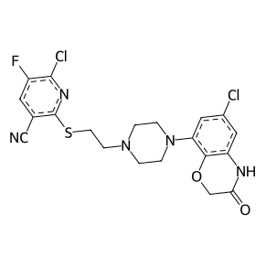 N#Cc1cc(F)c(Cl)nc1SCCN1CCN(c2cc(Cl)cc3c2OCC(=O)N3)CC1